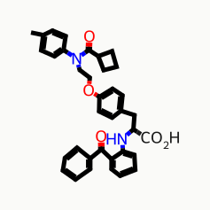 Cc1ccc(N(CCOc2ccc(CC(Nc3ccccc3C(=O)c3ccccc3)C(=O)O)cc2)C(=O)C2CCC2)cc1